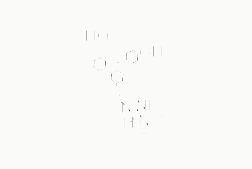 N[C@]12CNC[C@H]1CN(CCOc1ccc(/C(=C(/CCCO)c3ccccc3)c3ccc(O)cc3)cc1)C2